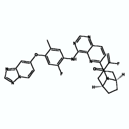 C=C(F)C(=O)N1[C@@H]2CC[C@H]1CC(c1ccc3ncnc(Nc4cc(C)c(Oc5ccn6ncnc6c5)cc4F)c3n1)C2